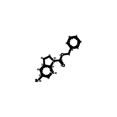 O=C(OCc1ccccc1)N1CCc2cc(Br)cnc21